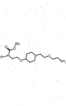 CCCN(CCOC1CCN(CCOCCN)CC1)C(=O)OC(C)(C)C